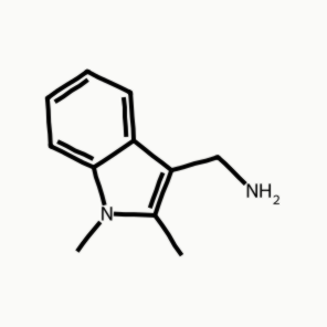 Cc1c(CN)c2ccccc2n1C